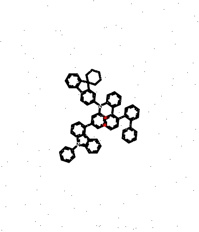 c1ccc(-c2ccccc2-c2ccccc2-c2ccccc2N(c2cccc(-c3cccc4c3c3ccccc3n4-c3ccccc3)c2)c2ccc3c(c2)C2(CCCCC2)c2ccccc2-3)cc1